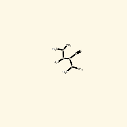 BB(B)B(B)B(B=S)B(B)B